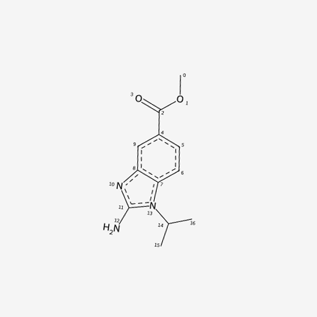 COC(=O)c1ccc2c(c1)nc(N)n2C(C)C